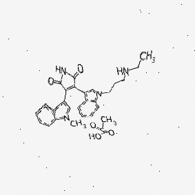 CCNCCCn1cc(C2=C(c3cn(C)c4ccccc34)C(=O)NC2=O)c2ccccc21.CS(=O)(=O)O